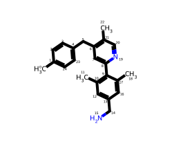 Cc1ccc(Cc2cc(-c3c(C)cc(CN)cc3C)ncc2C)cc1